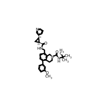 COc1cccc(-c2ccc(CNC(=O)[C@H]3C[C@@H]3c3cccnc3)c3c2CCN(C(=O)NC(C)(C)C)C3)c1